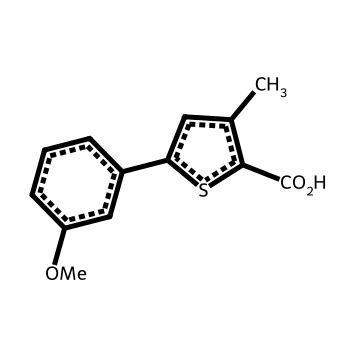 COc1cccc(-c2cc(C)c(C(=O)O)s2)c1